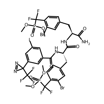 COP(=O)(OC)C(F)(F)c1ccc(C[C@H](NC(=O)[C@H](Cc2ccc(C(F)(F)P(=O)(OC)OC)c(Br)c2)NC(=O)c2cc(I)cc(C3(C(F)(F)F)N=N3)c2)C(N)=O)cc1Br